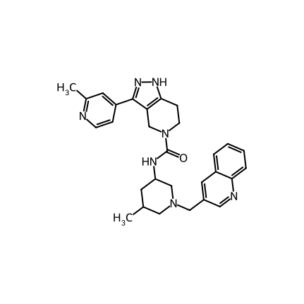 Cc1cc(-c2n[nH]c3c2CN(C(=O)NC2CC(C)CN(Cc4cnc5ccccc5c4)C2)CC3)ccn1